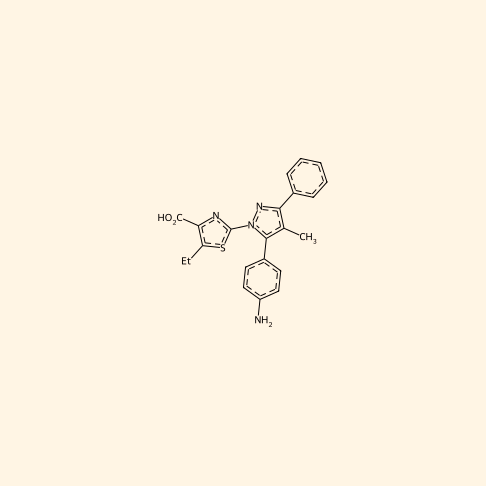 CCc1sc(-n2nc(-c3ccccc3)c(C)c2-c2ccc(N)cc2)nc1C(=O)O